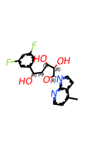 Cc1ccnc2c1ccn2[C@@H]1O[C@H]([C@H](O)c2cc(F)cc(F)c2)[C@@H](O)[C@H]1O